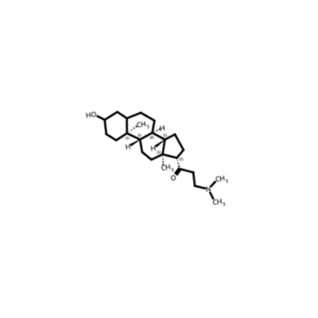 CN(C)CCC(=O)[C@H]1CC[C@H]2[C@@H]3CCC4CC(O)CC[C@]4(C)[C@H]3CC[C@]12C